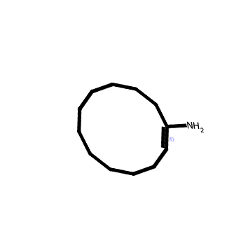 N/C1=C/CCCCCCCCCC1